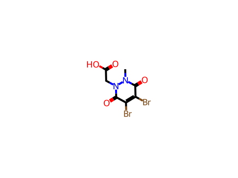 Cn1c(=O)c(Br)c(Br)c(=O)n1CC(=O)O